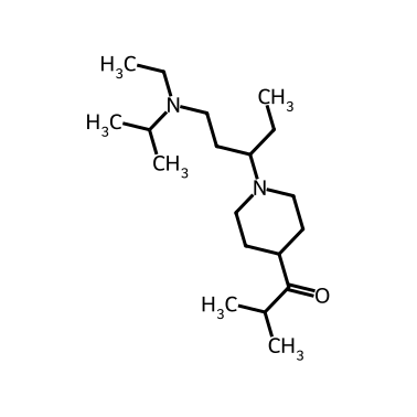 CCC(CCN(CC)C(C)C)N1CCC(C(=O)C(C)C)CC1